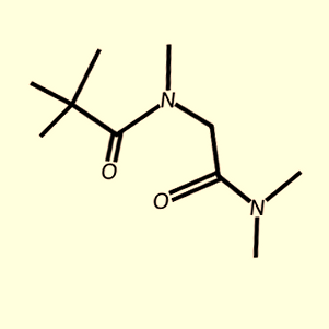 CN(C)C(=O)CN(C)C(=O)C(C)(C)C